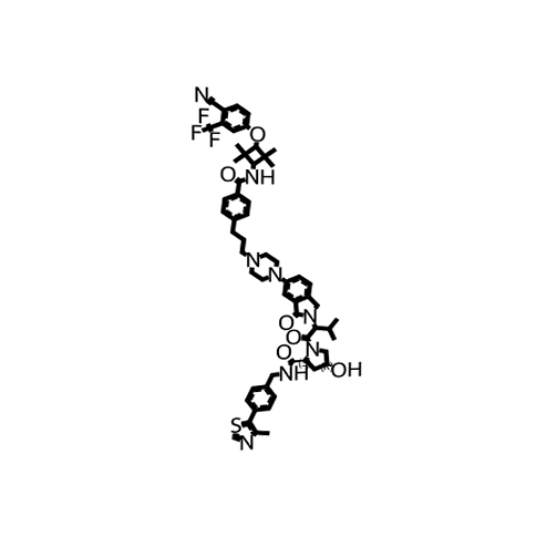 Cc1ncsc1-c1ccc(CNC(=O)[C@@H]2C[C@@H](O)CN2C(=O)C(C(C)C)N2Cc3ccc(N4CCN(CCCc5ccc(C(=O)NC6C(C)(C)C(Oc7ccc(C#N)c(C(F)(F)F)c7)C6(C)C)cc5)CC4)cc3C2=O)cc1